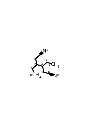 CCC(CC#N)C(CC)CC#N